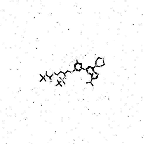 CC(C)c1cnn2c(N3CCOCC3)cc(-c3cc(Cl)cc(OCC(CCOC(=O)NC(C)(C)C)O[Si](C)(C)C(C)(C)C)c3)nc12